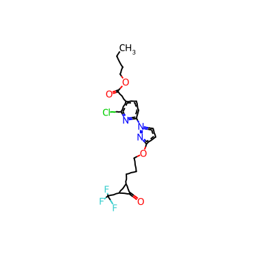 CCCCOC(=O)c1ccc(-n2ccc(OCCCC3C(=O)C3C(F)(F)F)n2)nc1Cl